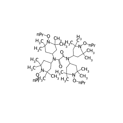 CCCON1C(C)(C)CC(N(C(=O)C(=O)N(C2CC(C)(C)N(OCCC)C(C)(C)C2)C2CC(C)(C)N(OCCC)C(C)(C)C2)C2CC(C)(C)N(OCCC)C(C)(C)C2)CC1(C)C